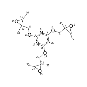 CC1OC1(C)COc1nc(OCC2(C)OC2C)nc(OCC2(C)OC2C)n1